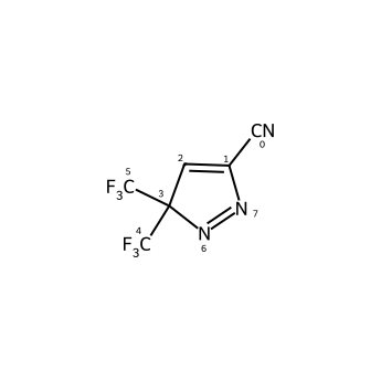 N#CC1=CC(C(F)(F)F)(C(F)(F)F)N=N1